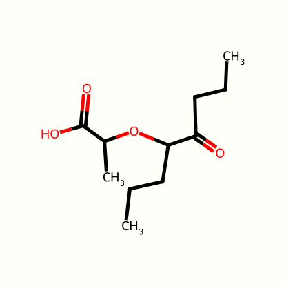 CCCC(=O)C(CCC)OC(C)C(=O)O